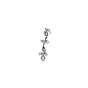 Nc1ccc(/C=C/C(=O)NCCC2C3CN(C(=O)NC4CCOCC4)CC23)cn1